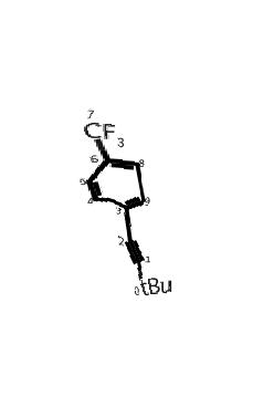 CC(C)(C)C#Cc1ccc(C(F)(F)F)cc1